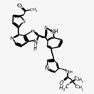 CC(=O)c1ccc(-c2nccc3[nH]c(-c4n[nH]c5ccc(-c6cncc(NC(=O)C(C)(C)C)c6)cc45)nc23)s1